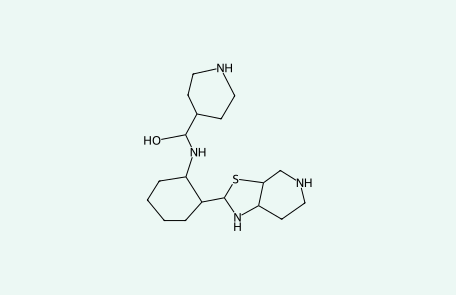 OC(NC1CCCCC1C1NC2CCNCC2S1)C1CCNCC1